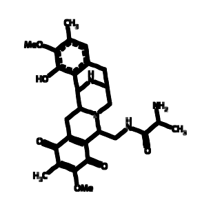 COC1=C(C)C(=O)C2=C(C1=O)C(CNC(=O)C(C)N)N1CC3Cc4cc(C)c(OC)c(O)c4C(N3)C1C2